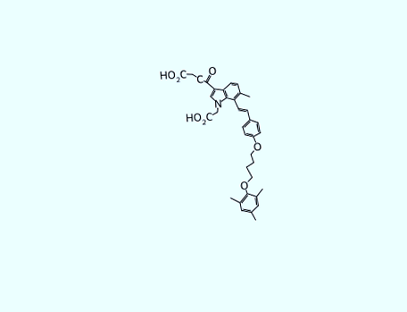 Cc1cc(C)c(OCCCCOc2ccc(/C=C/c3c(C)ccc4c(C(=O)CCC(=O)O)cn(CC(=O)O)c34)cc2)c(C)c1